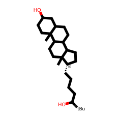 CC(C)(C)C(O)CCCC[C@H]1CCC2C3CCC4CC(O)CCC4(C)C3CCC21C